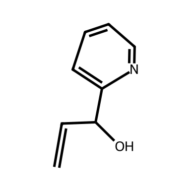 C=CC(O)c1ccccn1